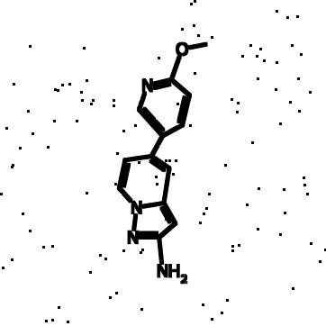 COc1ccc(-c2ccn3nc(N)cc3c2)cn1